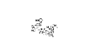 CC(/C=C/[C@H]1O[C@H](CC(=O)N2CCCCN2)C[C@@]2(CO2)[C@@H]1O)=C\C[C@@H]1O[C@H](C)[C@H](NC(=O)/C=C\C(C)C)C[C@@H]1C